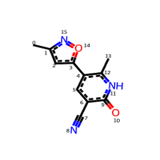 Cc1cc(-c2cc(C#N)c(=O)[nH]c2C)on1